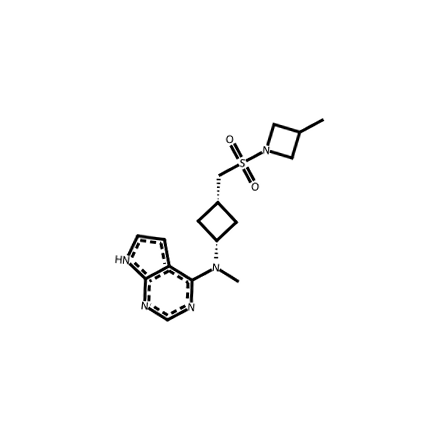 CC1CN(S(=O)(=O)C[C@H]2C[C@@H](N(C)c3ncnc4[nH]ccc34)C2)C1